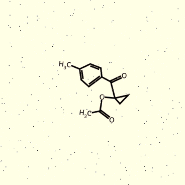 CC(=O)OC1(C(=O)c2ccc(C)cc2)CC1